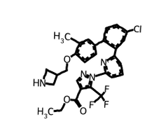 CCOC(=O)c1cnn(-c2cccc(-c3cc(Cl)ccc3-c3ccc(OCC4CNC4)c(C)c3)n2)c1C(F)(F)F